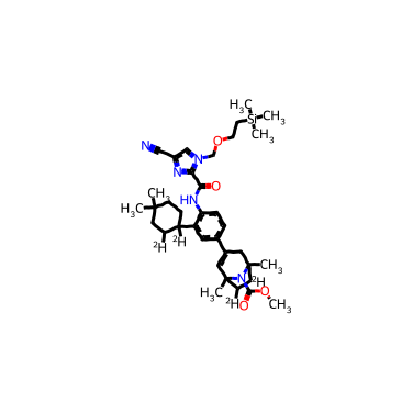 [2H]C1CC(C)(C)CCC1([2H])c1cc(C2=CC3(C)C([2H])C([2H])C(C)(C2)N3C(=O)OC)ccc1NC(=O)c1nc(C#N)cn1COCC[Si](C)(C)C